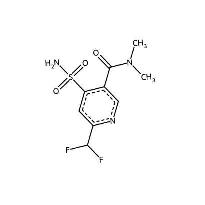 CN(C)C(=O)c1cnc(C(F)F)cc1S(N)(=O)=O